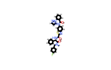 CN(Cc1ccc(F)cc1)C(=O)[C@@H](NC(=O)c1nc2ccc(NC(=O)c3ccccc3-n3cccn3)cc2s1)c1ccccc1